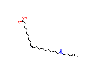 CCCCNCCCCCCCC/C=C\CCCCCCCC(=O)O